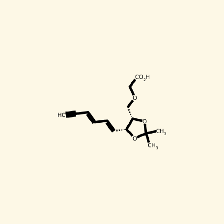 C#C/C=C/C=C/[C@H]1OC(C)(C)O[C@H]1COCC(=O)O